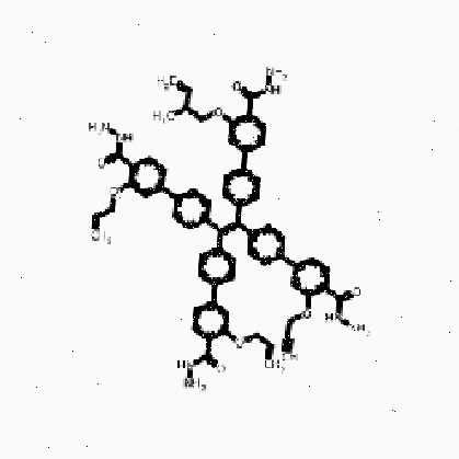 C#CCOc1cc(-c2ccc(C(=C(c3ccc(-c4ccc(C(=O)NN)c(OCC=C)c4)cc3)c3ccc(-c4ccc(C(=O)NN)c(OCC=C)c4)cc3)c3ccc(-c4ccc(C(=O)NN)c(OCC(C)C=C)c4)cc3)cc2)ccc1C(=O)NN